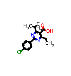 CCc1nc(-c2ccc(Cl)cc2)nc(C(C)C)c1C(=O)O